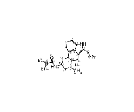 CCCSc1[nH]c2cccc3c2c1C[C@@H]1C3C[C@H](NC(=O)N(CC)CC)CN1C